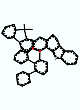 CC1(C)c2ccccc2-c2ccc(N(c3cccc(-c4ccccc4)c3-c3ccccc3-c3ccccc3)c3cccc4c3oc3ccccc34)cc21